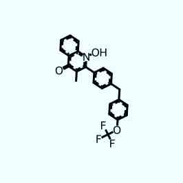 Cc1c(-c2ccc(Cc3ccc(OC(F)(F)F)cc3)cc2)n(O)c2ccccc2c1=O